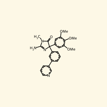 COc1cc(C2(c3cccc(-c4cccnc4)c3)N=C(N)N(C)C2=O)cc(OC)c1OC